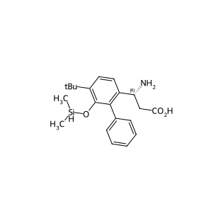 C[SiH](C)Oc1c(C(C)(C)C)ccc([C@H](N)CC(=O)O)c1-c1ccccc1